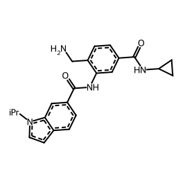 CC(C)n1ccc2ccc(C(=O)Nc3cc(C(=O)NC4CC4)ccc3CN)cc21